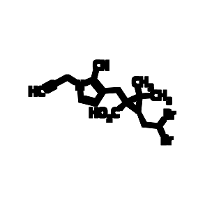 C#CCn1ccc(C[C@@]2(C(=O)O)[C@H](CC(Br)Br)C2(C)C)c1C#N